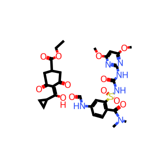 CCOC(=O)C1CC(=O)C(=C(O)C2CC2)C(=O)C1.COc1cc(OC)nc(NC(=O)NS(=O)(=O)c2cc(NC=O)ccc2C(=O)N(C)C)n1